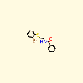 O=C(NCCSc1ccccc1Br)c1ccccc1